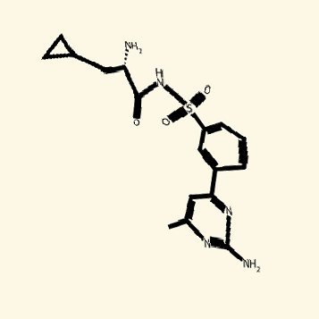 Cc1cc(-c2cccc(S(=O)(=O)NC(=O)[C@@H](N)CC3CC3)c2)nc(N)n1